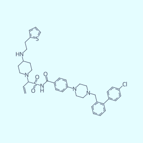 C=CC(N1CCC(NCCc2cccs2)CC1)S(=O)(=O)NC(=O)c1ccc(N2CCN(Cc3ccccc3-c3ccc(Cl)cc3)CC2)cc1